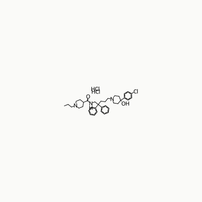 CCCN1CCC(C(=O)NCC(CCCN2CCC(O)(c3ccc(Cl)cc3)CC2)(c2ccccc2)c2ccccc2)CC1.Cl.Cl